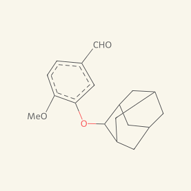 COc1ccc(C=O)cc1OC1C2CC3CC(C2)CC1C3